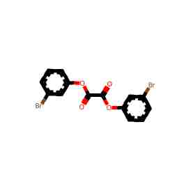 O=C(Oc1cccc(Br)c1)C(=O)Oc1cccc(Br)c1